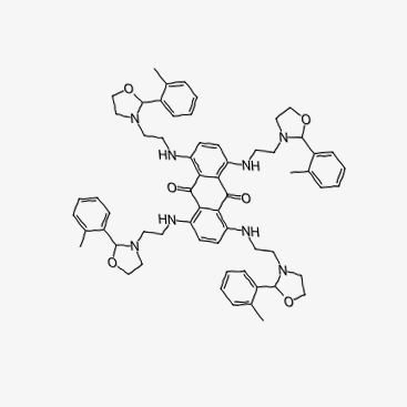 Cc1ccccc1C1OCCN1CCNc1ccc(NCCN2CCOC2c2ccccc2C)c2c1C(=O)c1c(NCCN3CCOC3c3ccccc3C)ccc(NCCN3CCOC3c3ccccc3C)c1C2=O